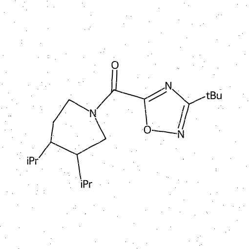 CC(C)C1CCN(C(=O)c2nc(C(C)(C)C)no2)CC1C(C)C